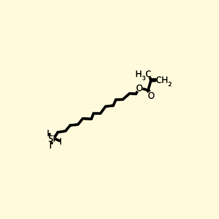 C=C(C)C(=O)OCCCCCCCCCCCCCC[Si](I)(I)I